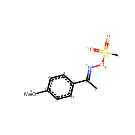 COc1ccc(C(C)=NOS(C)(=O)=O)cc1